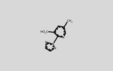 Cc1cnc(-n2nccn2)c(C(=O)O)c1